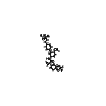 Cc1ccc(NC(=O)C2(c3ccc4c(c3)OC(F)(F)O4)CC2)nc1-c1ccc(CCS(C)(=O)=O)cc1